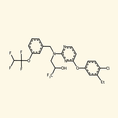 CCc1cc(Oc2ccnc(N(Cc3cccc(OC(F)(F)C(F)F)c3)CC(O)C(F)(F)F)n2)ccc1Cl